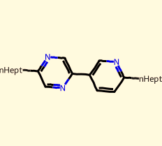 CCCCCCCc1ccc(-c2cnc(CCCCCCC)cn2)cn1